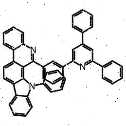 c1ccc(-c2cc(-c3ccccc3)nc(-c3cccc(-c4nc5ccccc5c5ccc6c7ccccc7n(-c7ccccc7)c6c45)c3)c2)cc1